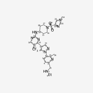 CCNCc1ccc(-n2cc(-c3nc(NC4CCN(S(=O)(=O)c5cn(C)cn5)CC4)ncc3C(F)(F)F)cn2)c(C)n1